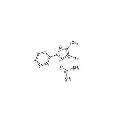 Cc1nn(-c2ccccc2)c(OC(C)C)c1I